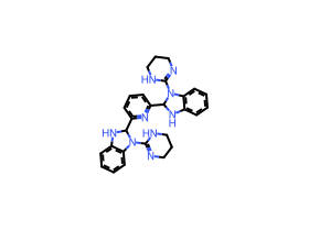 c1cc(C2Nc3ccccc3N2C2=NCCCN2)nc(C2Nc3ccccc3N2C2=NCCCN2)c1